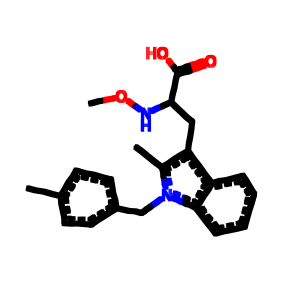 CONC(Cc1c(C)n(Cc2ccc(C)cc2)c2ccccc12)C(=O)O